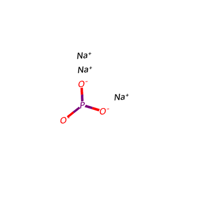 [Na+].[Na+].[Na+].[O-]P([O-])[O-]